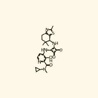 Cc1nc2c(s1)C(Nc1c(Nc3ccnc(C(=O)N(C)C4CC4)c3O)c(=O)c1=O)C(C)(C)CC2